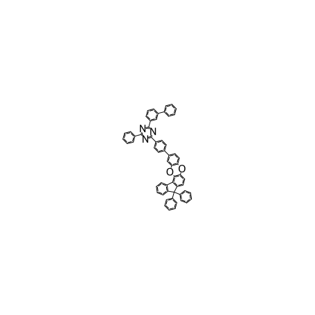 c1ccc(-c2cccc(-c3nc(-c4ccccc4)nc(-c4ccc(-c5ccc6c(c5)Oc5c(ccc7c5-c5ccccc5C7(c5ccccc5)c5ccccc5)O6)cc4)n3)c2)cc1